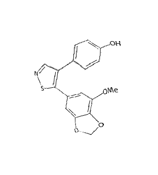 COc1cc(-c2sncc2-c2ccc(O)cc2)cc2c1OCO2